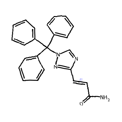 NC(=O)/C=C/c1ncn(C(c2ccccc2)(c2ccccc2)c2ccccc2)n1